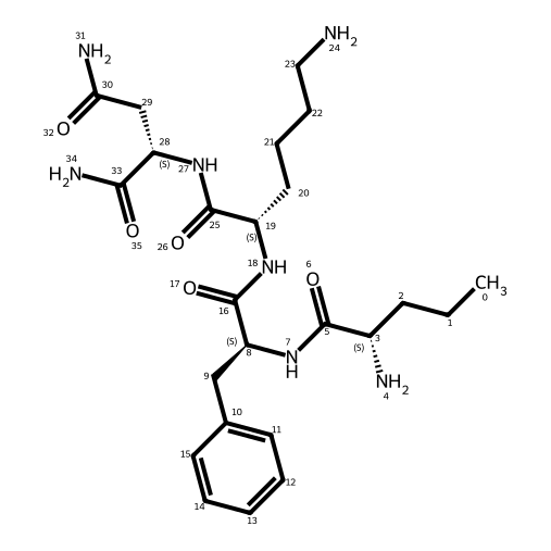 CCC[C@H](N)C(=O)N[C@@H](Cc1ccccc1)C(=O)N[C@@H](CCCCN)C(=O)N[C@@H](CC(N)=O)C(N)=O